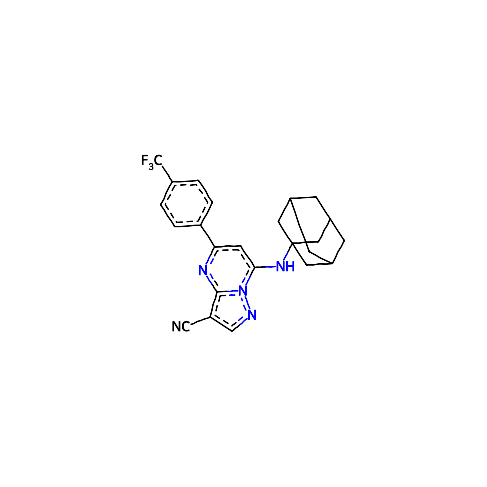 N#Cc1cnn2c(NC34CC5CC(CC(C5)C3)C4)cc(-c3ccc(C(F)(F)F)cc3)nc12